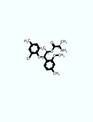 COc1cc(C)ccc1[C@@H](Oc1ccc(C)cc1Cl)[C@H](C)OC(=O)[C@H](C)N